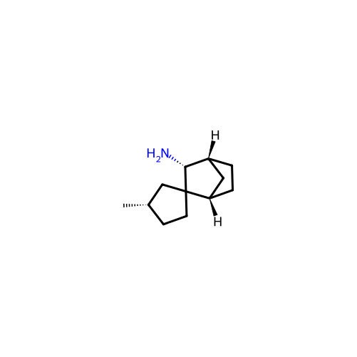 C[C@H]1CCC2(C1)[C@H]1CC[C@H](C1)[C@H]2N